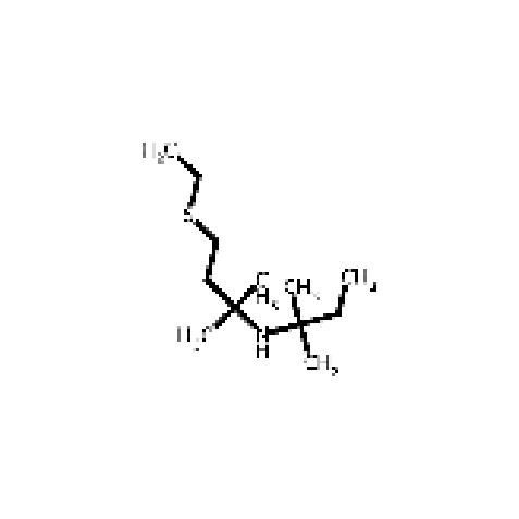 CCSCCC(C)(C)NC(C)(C)CC